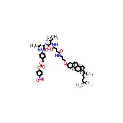 CC[C@H](C)[C@H](NC(=O)CCC(=O)NCCCO[C@H]1CC[C@@]2(C)C(=CC[C@H]3[C@@H]4CC[C@H]([C@H](C)CCCC(C)C)[C@@]4(C)CC[C@@H]32)C1)C(=O)N[C@@H](CC(C)N)C(=O)Nc1ccc(COC(=O)Oc2ccc([N+](=O)[O-])cc2)cc1